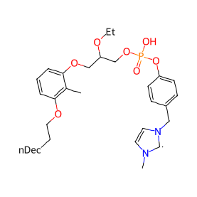 CCCCCCCCCCCCOc1cccc(OCC(COP(=O)(O)Oc2ccc(CN3[CH]N(C)C=C3)cc2)OCC)c1C